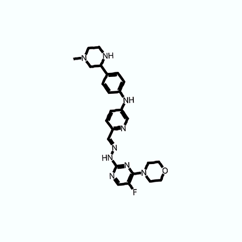 CN1CCNC(c2ccc(Nc3ccc(/C=N/Nc4ncc(F)c(N5CCOCC5)n4)nc3)cc2)C1